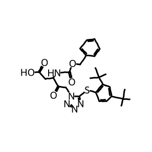 CC(C)(C)c1ccc(Sc2nnnn2CC(=O)C(CC(=O)O)NC(=O)OCc2ccccc2)c(C(C)(C)C)c1